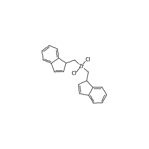 [Cl][Zr]([Cl])([CH2]C1C=Cc2ccccc21)[CH2]C1C=Cc2ccccc21